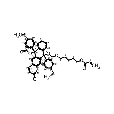 C=CC(=O)OCCCCCOCOC1(c2ccc(SC)cc2)c2ccccc2C(OC(N)=O)(c2ccc(SC)cc2)c2cc(/C=C\C(=O)O)ccc21